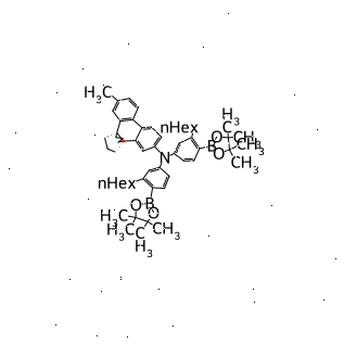 CCCCCCc1cc(N(c2ccc(B3OC(C)(C)C(C)(C)O3)c(CCCCCC)c2)c2ccc3c(c2)[C@]24CCC[C@]2(CCC4)c2cc(C)ccc2-3)ccc1B1OC(C)(C)C(C)(C)O1